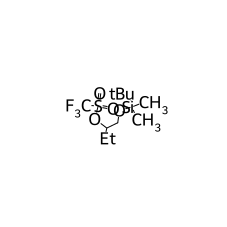 CCC(CO[Si](C)(C)C(C)(C)C)OS(=O)(=O)C(F)(F)F